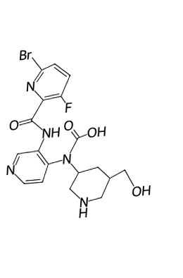 O=C(Nc1cnccc1N(C(=O)O)C1CNCC(CO)C1)c1nc(Br)ccc1F